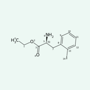 CCOC(=O)[C@@H](N)Cc1ccccc1I